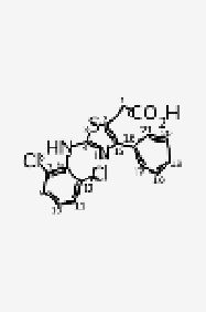 O=C(O)Cc1sc(Nc2c(Cl)cccc2Cl)nc1-c1ccccc1